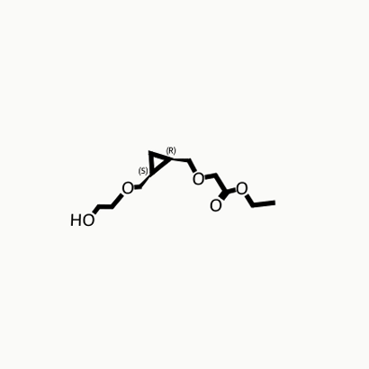 CCOC(=O)COC[C@@H]1C[C@@H]1COCCO